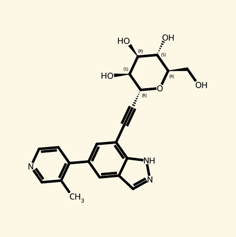 Cc1cnccc1-c1cc(C#C[C@H]2O[C@H](CO)[C@@H](O)[C@H](O)[C@@H]2O)c2[nH]ncc2c1